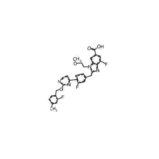 COCCn1c(Cc2ccc(-c3ccnc(OCc4ccc(C)cc4F)n3)c(F)c2)nc2c(F)cc(C(=O)O)cc21